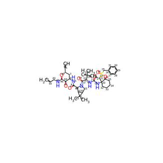 C#CCCC(NC(=O)[C@@H]1C2C(CN1C(=O)[C@@H](NC(=O)NC1(CS(=O)(=O)Cc3ccccc3)CCCCC1)C(C)(C)C)C2(C)C)C(=O)C(=O)NCC=C